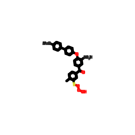 COc1ccc(-c2ccc(Oc3ccc(C(=O)c4ccc(C)c(SOOO)c4)cc3S(=O)(=O)O)cc2)cc1